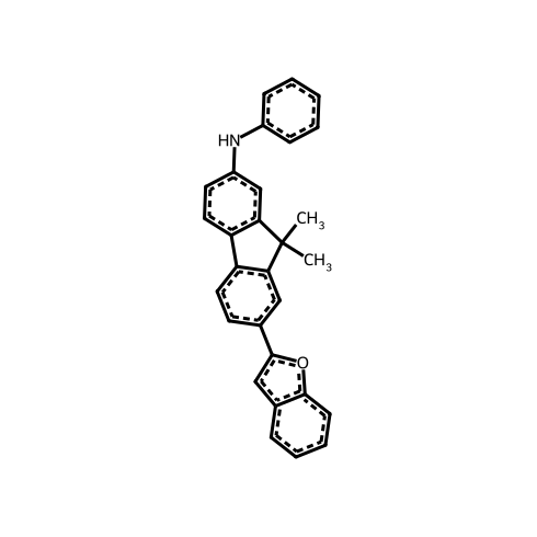 CC1(C)c2cc(Nc3ccccc3)ccc2-c2ccc(-c3cc4ccccc4o3)cc21